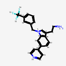 NCCc1cn(Cc2cccc(C(F)(F)F)c2)c2cc(-c3ccncc3)ccc12